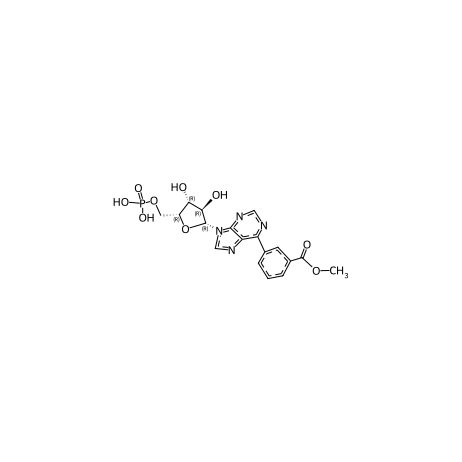 COC(=O)c1cccc(-c2ncnc3c2ncn3[C@@H]2O[C@H](COP(=O)(O)O)[C@H](O)[C@H]2O)c1